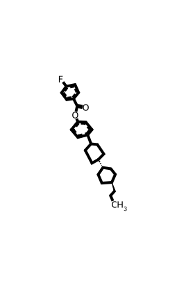 CCC[C@H]1CC[C@H](C2CCC(c3ccc(OC(=O)c4ccc(F)cc4)cc3)CC2)CC1